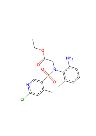 CCOC(=O)CN(c1c(C)cccc1N)S(=O)(=O)c1cnc(Cl)cc1C